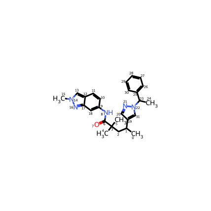 CC(CC(C)(C)C(=O)Nc1ccc2cn(C)nc2c1)c1cnn(C(C)c2ccccc2)c1